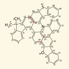 CC1(C)c2ccccc2-c2c(-c3ccccc3N(c3ccccc3-c3ccc4oc5ccccc5c4c3)c3cccc4sc5c(c34)CCC=C5)cccc21